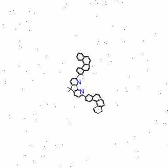 CC1(C)c2ccc(-c3ccc4c(ccc5ccc6c(c54)C=CCC6)c3)nc2-c2nc(-c3ccc4c(ccc5ccc6ccccc6c54)c3)ccc21